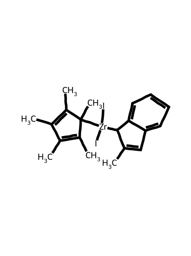 CC1=Cc2ccccc2[CH]1[Zr]([I])([I])[C]1(C)C(C)=C(C)C(C)=C1C